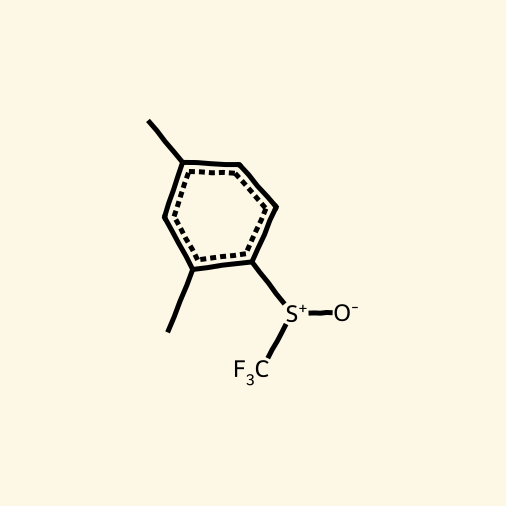 Cc1ccc([S+]([O-])C(F)(F)F)c(C)c1